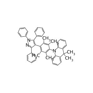 Cc1c(C)c(N2c3ccccc3C(C)(C)c3ccccc32)c(C)c(C)c1-c1c(-c2ccccc2)nn(-c2ccccc2)c1-c1ccccc1